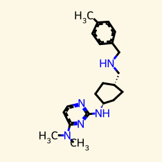 Cc1ccc(CNC[C@H]2CC[C@@H](Nc3nccc(N(C)C)n3)CC2)cc1